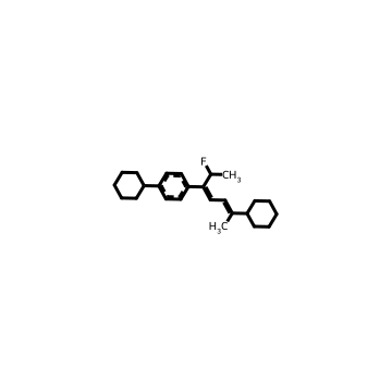 C/C(=C\C=C(\c1ccc(C2CCCCC2)cc1)C(C)F)C1CCCCC1